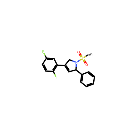 CCCS(=O)(=O)N1CC(c2cc(F)ccc2F)=CC1c1ccccc1